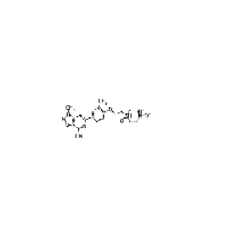 Cn1nnc2c(C#N)nc(-c3ccc(OCC[SH]4(=O)CC[NH+]([O-])CC4)c(C(F)(F)F)c3)cc21